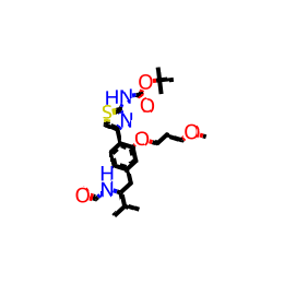 COCCCOc1cc(CC(NC=O)C(C)C)ccc1-c1csc(NC(=O)OC(C)(C)C)n1